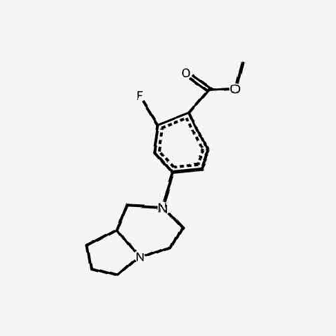 COC(=O)c1ccc(N2CCN3CCCC3C2)cc1F